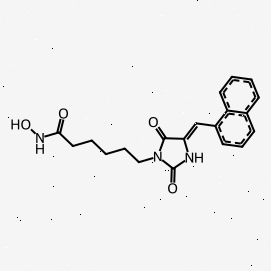 O=C(CCCCCN1C(=O)NC(=Cc2cccc3ccccc23)C1=O)NO